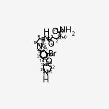 C[C@@H](C[CH]C(=O)N[C@H]1CCN(Cc2ccc(OC3CCNCC3)c(Br)c2)C1)C(N)=O